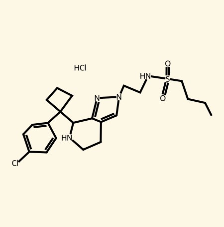 CCCCS(=O)(=O)NCCn1cc2c(n1)C(C1(c3ccc(Cl)cc3)CCC1)NCC2.Cl